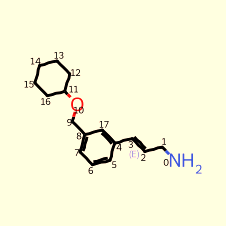 NC/C=C/c1cccc(COC2CCCCC2)c1